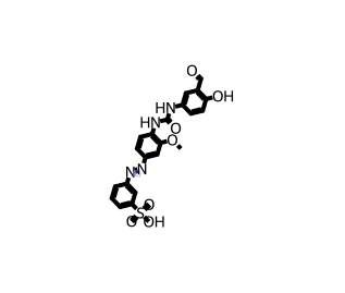 COc1cc(/N=N/c2cccc(S(=O)(=O)O)c2)ccc1NC(=O)Nc1ccc(O)c(C=O)c1